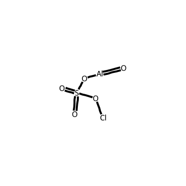 [O]=[Al][O]S(=O)(=O)OCl